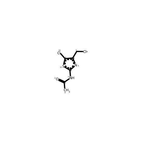 CC(=O)Nc1nc(CCl)c(Cl)s1